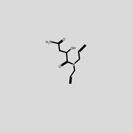 C=CCN(CC=C)C(=O)C(O)CC(N)=O